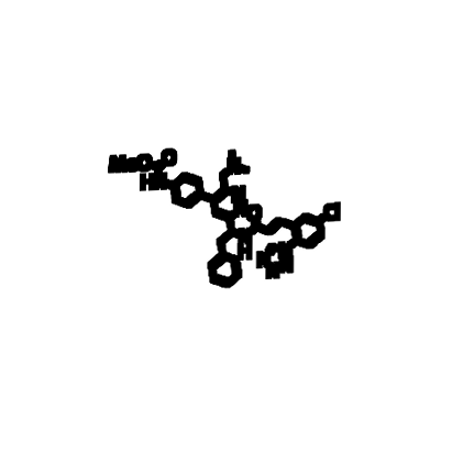 COC(=O)Nc1ccc(-c2cc(C(Cc3ccccc3)NC(=O)C=Cc3cc(Cl)ccc3-n3cnnn3)nnc2CN(C)C)cc1